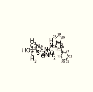 CC(C)(O)c1ncc([S@](N)(=O)=NC(=O)Nc2cc(-c3ccccc3)nc3c2CCC3)s1